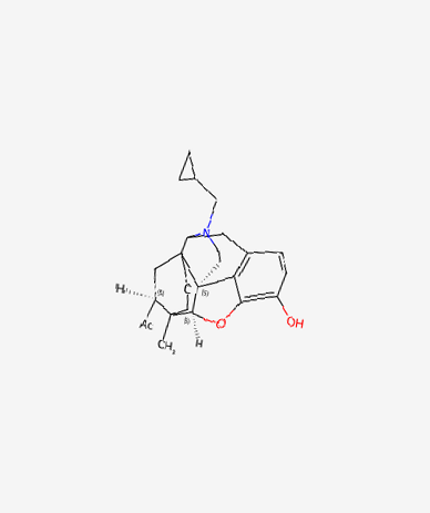 CC(=O)[C@H]1CC23CCC1(C)[C@@H]1Oc4c(O)ccc5c4[C@@]12CCN(CC1CC1)C3C5